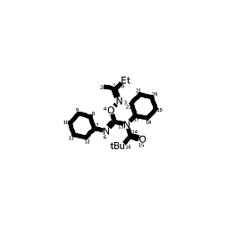 CC/C(C)=N/O/C(=N\C1CCCCC1)N(C(=O)C(C)(C)C)C1CCCCC1